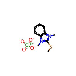 CSc1n(C)c2ccccc2[n+]1C.[O-][Cl+3]([O-])([O-])[O-]